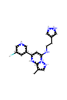 Cc1cnn2c(NCCc3cn[nH]c3)cc(-c3cncc(F)c3)nc12